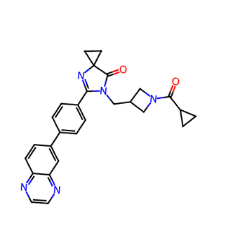 O=C(C1CC1)N1CC(CN2C(=O)C3(CC3)N=C2c2ccc(-c3ccc4nccnc4c3)cc2)C1